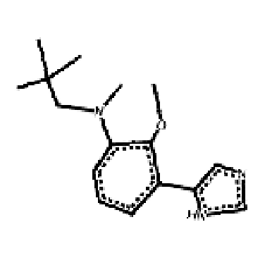 COc1c(-c2cnc[nH]2)cccc1N(C)CC(C)(C)C